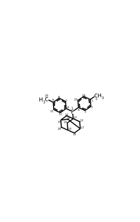 Cc1ccc(P(c2ccc(C)cc2)C23CC4CC(CC(C4)C2)C3)cc1